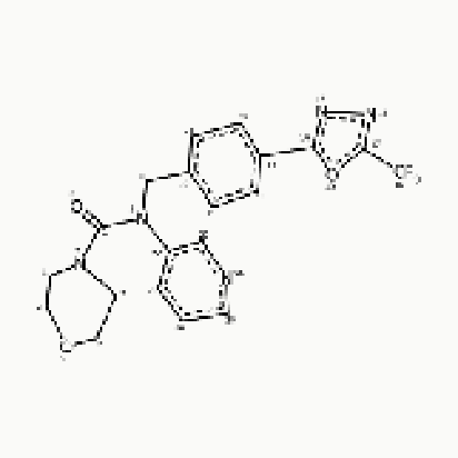 O=C(N1CCOCC1)N(Cc1ccc(-c2nnc(C(F)(F)F)o2)cc1)c1cccnc1